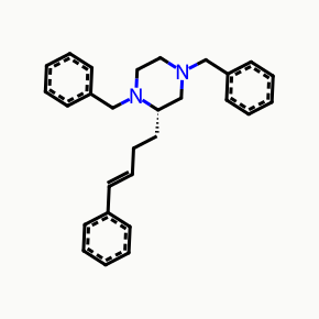 C(=C\c1ccccc1)/CC[C@H]1CN(Cc2ccccc2)CCN1Cc1ccccc1